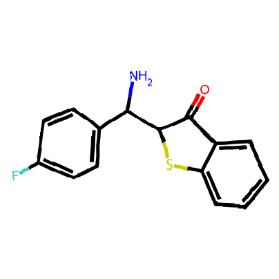 NC(c1ccc(F)cc1)C1Sc2ccccc2C1=O